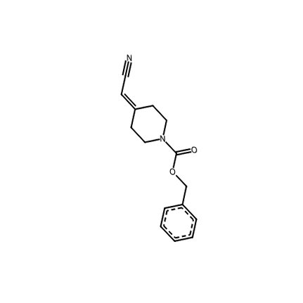 N#CC=C1CCN(C(=O)OCc2ccccc2)CC1